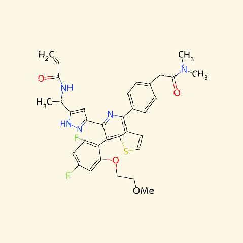 C=CC(=O)NC(C)c1cc(-c2nc(-c3ccc(CC(=O)N(C)C)cc3)c3ccsc3c2-c2c(F)cc(F)cc2OCCOC)n[nH]1